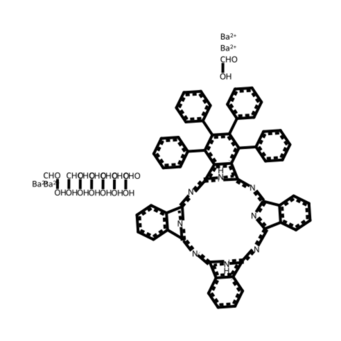 O=[C-]O.O=[C-]O.O=[C-]O.O=[C-]O.O=[C-]O.O=[C-]O.O=[C-]O.O=[C-]O.[Ba+2].[Ba+2].[Ba+2].[Ba+2].c1ccc(-c2c(-c3ccccc3)c(-c3ccccc3)c3c4nc5nc(nc6[nH]c(nc7nc(nc([nH]4)c3c2-c2ccccc2)-c2ccccc2-7)c2ccccc62)-c2ccccc2-5)cc1